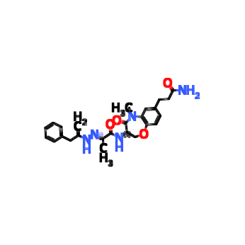 C=C(Cc1ccccc1)N/N=C(\C)C(=O)N[C@H]1COc2ccc(CCC(N)=O)cc2N(C)C1=O